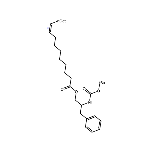 CCCCCCCC/C=C\CCCCCCCC(=O)OCC(Cc1ccccc1)NC(=O)OC(C)(C)C